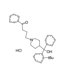 CC(C)(C)c1ccccc1C(O)(c1ccccc1)C1CCN(CCCC(=O)c2ccccc2)CC1.Cl